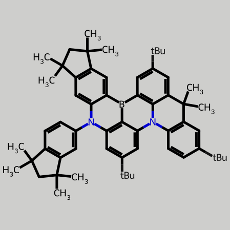 CC(C)(C)c1cc2c3c(c1)N1c4ccc(C(C)(C)C)cc4C(C)(C)c4cc(C(C)(C)C)cc(c41)B3c1cc3c(cc1N2c1ccc2c(c1)C(C)(C)CC2(C)C)C(C)(C)CC3(C)C